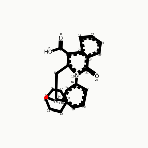 O=C(O)c1c(CN2CC3CCC(CC3)C2)n(-c2ccccc2)c(=O)c2ccccc12